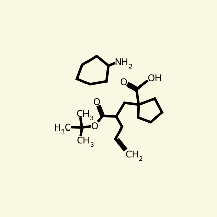 C=CCC(CC1(C(=O)O)CCCC1)C(=O)OC(C)(C)C.NC1CCCCC1